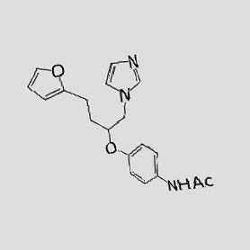 CC(=O)Nc1ccc(OC(CCc2ccco2)Cn2ccnc2)cc1